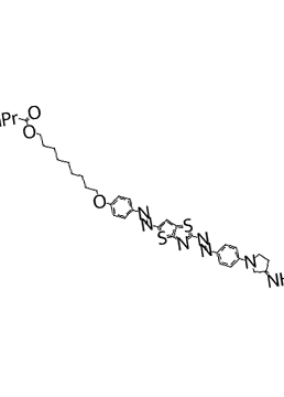 CCCC(=O)OCCCCCCCCCOc1ccc(N=Nc2cc3sc(N=Nc4ccc(N5CCC(=N)C5)cc4)nc3s2)cc1